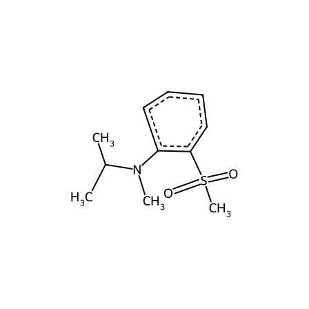 CC(C)N(C)c1ccccc1S(C)(=O)=O